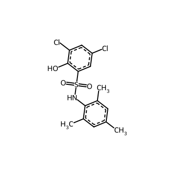 Cc1cc(C)c(NS(=O)(=O)c2cc(Cl)cc(Cl)c2O)c(C)c1